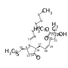 CCCCCC/C=C/[C@H]1[C@H](CSC)CC(=O)[C@@H]1C/C=C\CCC(C)(O)C(=O)OC